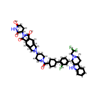 C[C@@H]1Cc2c([nH]c3ccccc23)[C@@H](c2ccc(C3CCC(C(=O)N4CCC(N5Cc6cc7c(cc6C5)C(=O)N(C5CCC(=O)NC5=O)C7=O)CC4)CC3)c(F)c2)N1CC(F)F